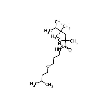 CC(C)CCOCCCNC(=O)C(C)(C)CC(C)(C)C(C)C